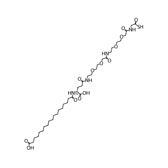 O=C(O)CCCCCCCCCCCCCCCCC(=O)N[C@@H](CCC(=O)NCCOCCOCC(=O)NCCOCCOCC(=O)NCC(=O)S)C(=O)O